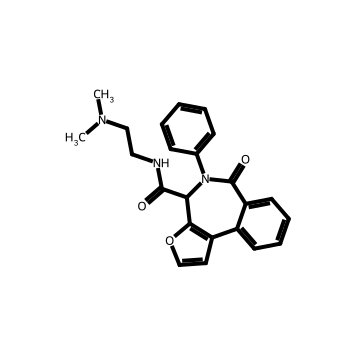 CN(C)CCNC(=O)C1c2occc2-c2ccccc2C(=O)N1c1ccccc1